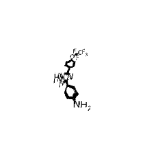 Nc1ccc(-c2n[nH]c(-c3ccc(OC(F)(F)C(F)(F)F)cc3)n2)cc1